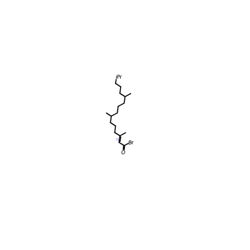 C/C(=C\C(=O)Br)CCCC(C)CCCC(C)CCCC(C)C